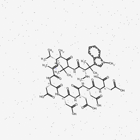 CN[C@H](C(=O)NC(C(=O)N(C)[C@H](/C=C(\C)C(=O)N[C@@H](CC(=O)O)C(=O)N[C@@H](CC(=O)O)C(=O)N[C@@H](CC(=O)O)C(=O)N[C@@H](CC(=O)O)C(=O)N[C@@H](CC(=O)O)C(=O)O)C(C)C)C(C)(C)C)C(C)(C)c1cn(C)c2ccccc12